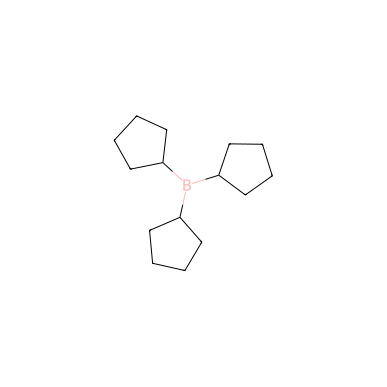 C1CCC(B(C2CCCC2)C2CCCC2)C1